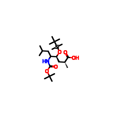 CC(C)CC(NC(=O)OC(C)(C)C)[C@H](C[C@@H](C)C(=O)O)O[Si](C)(C)C(C)(C)C